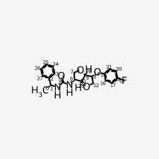 C[C@H](NC(=O)N[C@H]1CO[C@H]2[C@@H]1OC[C@@H]2Oc1ccc(F)cc1)c1ccccc1